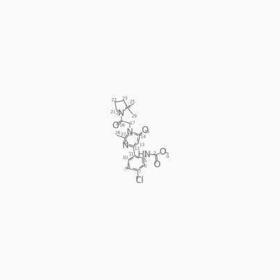 COC(=O)Nc1cc(Cl)ccc1-c1cc(=O)n(CC(=O)N2CCCC2(C)C)c(C)n1